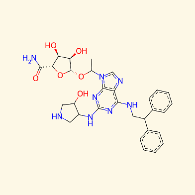 CC(O[C@@H]1O[C@H](C(N)=O)[C@@H](O)[C@H]1O)n1cnc2c(NCC(c3ccccc3)c3ccccc3)nc(NC3CNCC3O)nc21